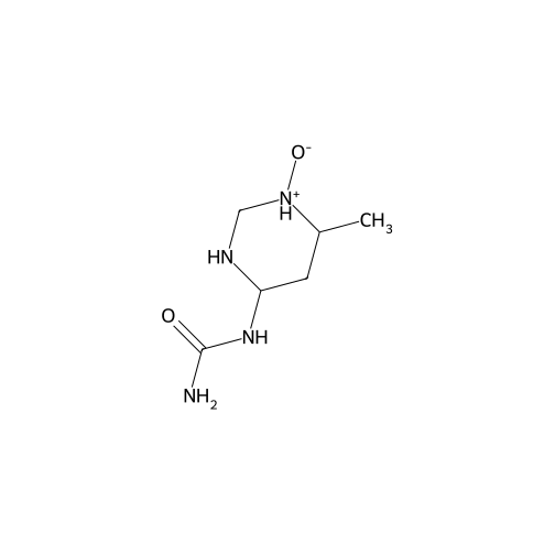 CC1CC(NC(N)=O)NC[NH+]1[O-]